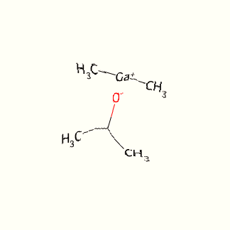 CC(C)[O-].[CH3][Ga+][CH3]